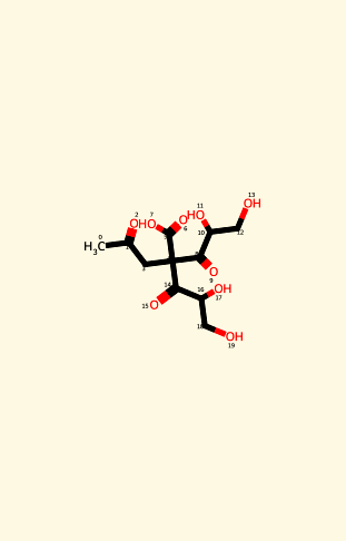 CC(=O)CC(C(=O)O)(C(=O)C(O)CO)C(=O)C(O)CO